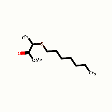 CCCC(SCCCCCCC(F)(F)F)C(=O)OC